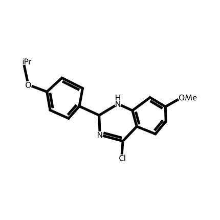 COc1ccc2c(c1)NC(c1ccc(OC(C)C)cc1)N=C2Cl